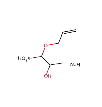 C=CCOC(C(C)O)S(=O)(=O)O.[NaH]